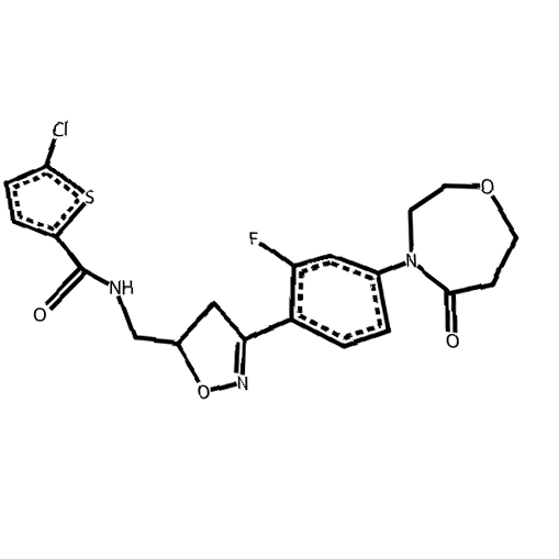 O=C(NCC1CC(c2ccc(N3CCOCCC3=O)cc2F)=NO1)c1ccc(Cl)s1